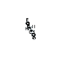 COc1ccc(N(C)C(=O)CNC(S)=Nc2ccc(F)cc2)cc1